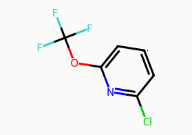 FC(F)(F)Oc1c[c]cc(Cl)n1